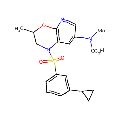 CC1CN(S(=O)(=O)c2cccc(C3CC3)c2)c2cc(N(C(=O)O)C(C)(C)C)cnc2O1